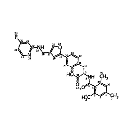 Cc1cc(C)c(C(=O)N[C@@H](Cc2ccc(-c3cc(CNc4cc(F)ccn4)co3)cc2)C(=O)O)c(C)c1